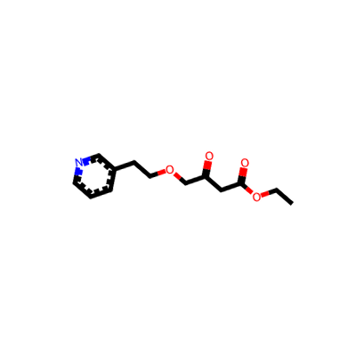 CCOC(=O)CC(=O)COCCc1cccnc1